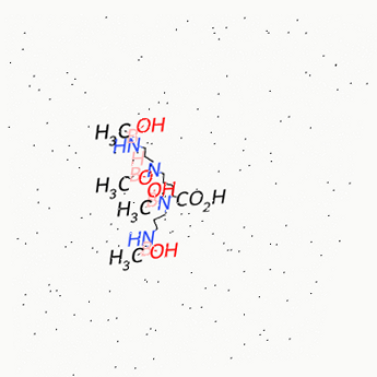 CBON(CCCNB(C)O)CCCC(C(=O)O)N(CCCNB(C)O)B(C)O